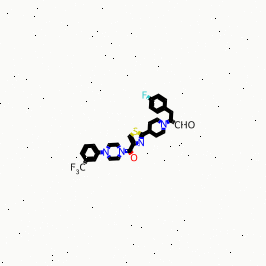 O=CC(Cc1ccc(F)cc1)N1CCC(c2nc(C(=O)N3CCN(c4cccc(C(F)(F)F)c4)CC3)cs2)CC1